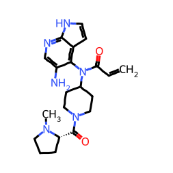 C=CC(=O)N(c1c(N)cnc2[nH]ccc12)C1CCN(C(=O)[C@@H]2CCCN2C)CC1